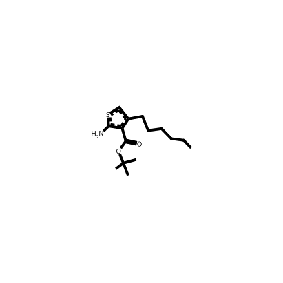 CCCCCCc1csc(N)c1C(=O)OC(C)(C)C